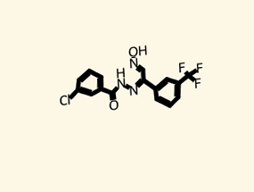 O=C(NN=C(C=NO)c1cccc(C(F)(F)F)c1)c1cccc(Cl)c1